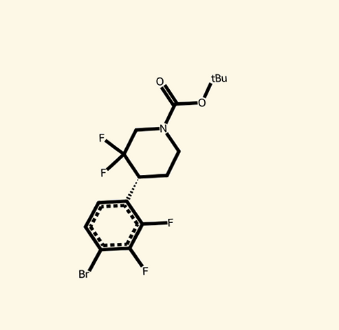 CC(C)(C)OC(=O)N1CC[C@H](c2ccc(Br)c(F)c2F)C(F)(F)C1